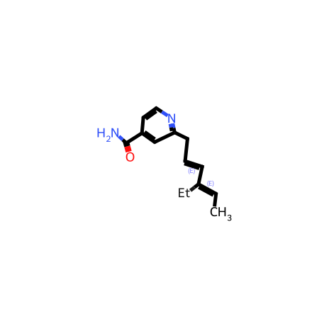 C/C=C(/C=C/Cc1cc(C(N)=O)ccn1)CC